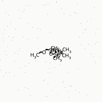 CCOC[SiH](C)O[Si](C)(C)O[Si](C)(C)C